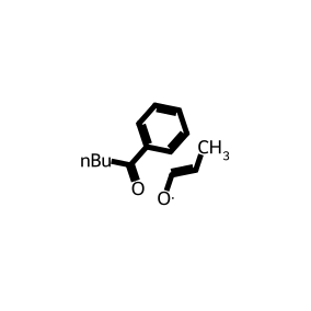 CC=C[O].CCCCC(=O)c1ccccc1